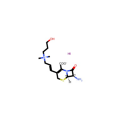 C[N+](C)(CC=CC1=C(C(=O)[O-])N2C(=O)[C@@H](N)[C@H]2SC1)CCCO.I